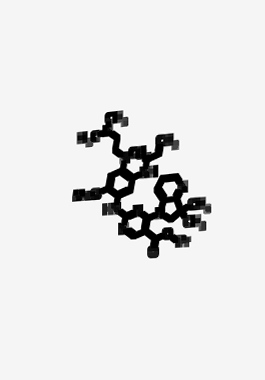 C=CC(=O)Nc1cc(Nc2ncc(C(=O)OC(C)C)c(N3CC(C)(C)c4ncccc43)n2)c(OC)cc1N(C)CCN(C)C